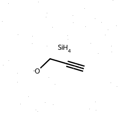 C#CC[O].[SiH4]